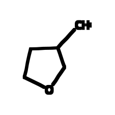 [CH]C1CCOC1